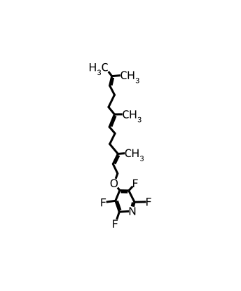 CC(C)=CCC/C(C)=C/CC/C(C)=C/COc1c(F)c(F)nc(F)c1F